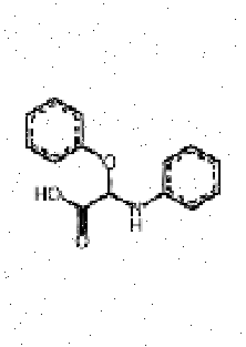 O=C(O)C(Nc1ccccc1)Oc1ccccc1